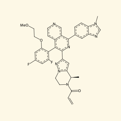 C=CC(=O)N1CCn2nc(-c3nc(-c4ccc5c(c4)ncn5C)c4cnccc4c3-c3c(F)cc(F)cc3OCCOC)cc2[C@H]1C